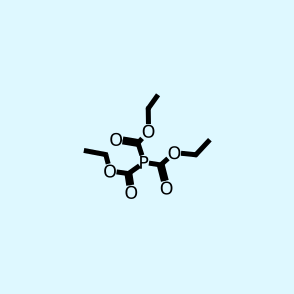 CCOC(=O)P(C(=O)OCC)C(=O)OCC